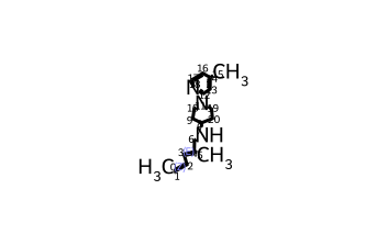 C/C=C\C=C(/C)CNC1CCN(c2cc(C)ccn2)CC1